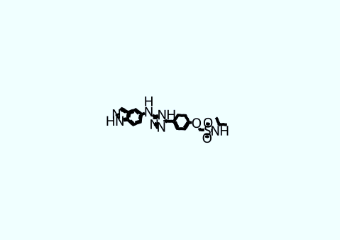 CC(C)NS(=O)(=O)COC1=CC=C(c2nnc(Nc3ccc4[nH]ncc4c3)[nH]2)CC1